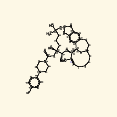 CO/C1=C/CCCCN2CCc3cc4c(cc3[C@@H](C2)[C@@H]1OC(=O)[C@@](O)(CCCC(C)(C)O)CC(=O)N1CCN(c2ccc(F)cc2)CC1)OCO4